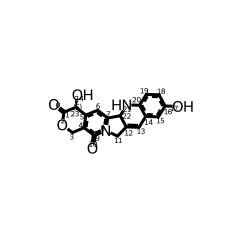 O=C1OCc2c(cc3n(c2=O)CC2=Cc4cc(O)ccc4NC23)[C@@H]1O